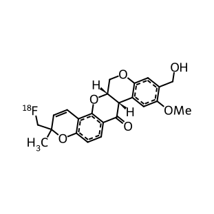 COc1cc2c(cc1CO)OC[C@H]1Oc3c(ccc4c3C=CC(C)(C[18F])O4)C(=O)[C@@H]21